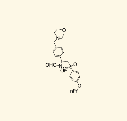 CCCOc1ccc(S(=O)(=O)CC(c2ccc(CN3CCOCC3)cc2)N(O)C=O)cc1